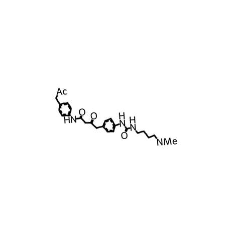 CNCCCCNC(=O)Nc1ccc(CC(=O)CC(=O)Nc2ccc(CC(C)=O)cc2)cc1